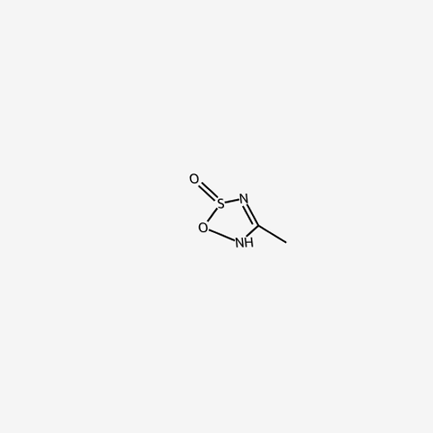 CC1=NS(=O)ON1